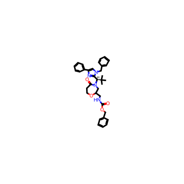 CC(C)(C)[C@H](c1nc(-c2ccccc2)cn1Cc1ccccc1)N1CC(CNC(=O)OCc2ccccc2)OCCC1=O